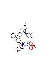 C=CC(=O)Oc1ccc(N(c2ccc(C3(c4ccc(N(c5ccc(C)c(C)c5)c5ccc(C)cc5C)cc4)CCCCC3)cc2)c2ccc(C)cc2C)cc1